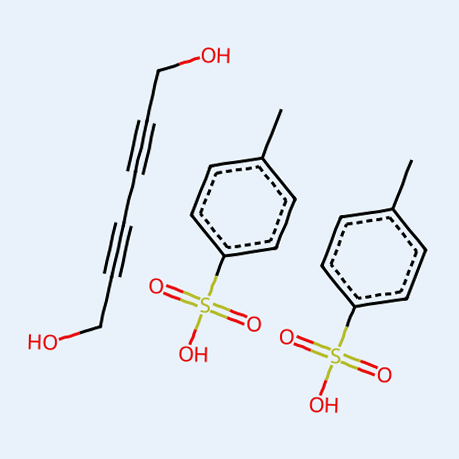 Cc1ccc(S(=O)(=O)O)cc1.Cc1ccc(S(=O)(=O)O)cc1.OCC#CC#CCO